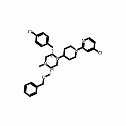 CN1C[C@H](Cc2ccc(Cl)cc2)N(C2CCN(c3cc(Cl)ccn3)CC2)C[C@@H]1COCc1ccccc1